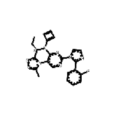 CC[C@@H]1c2nnc(C)n2-c2cnc(-n3ccnc3-c3ccccc3F)nc2N1C1=CC=C1